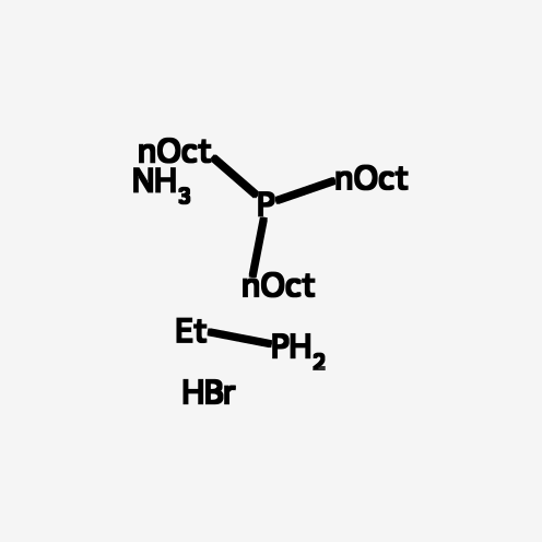 Br.CCCCCCCCP(CCCCCCCC)CCCCCCCC.CCP.N